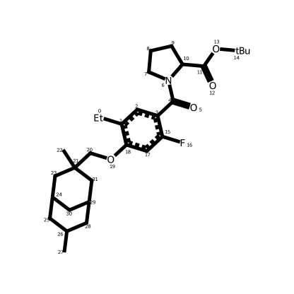 CCc1cc(C(=O)N2CCCC2C(=O)OC(C)(C)C)c(F)cc1OCC1(C)CC2CC(C)CC(C2)C1